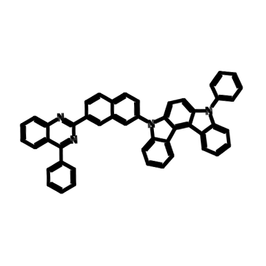 c1ccc(-c2nc(-c3ccc4ccc(-n5c6ccccc6c6c7c8ccccc8n(-c8ccccc8)c7ccc65)cc4c3)nc3ccccc23)cc1